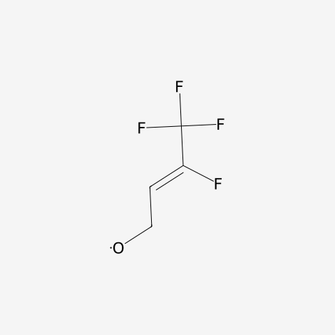 [O]CC=C(F)C(F)(F)F